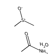 CC(N)=O.C[S+](C)[O-].O